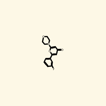 O=c1cc(-c2cccc(F)c2)oc(N2CCOCC2)c1